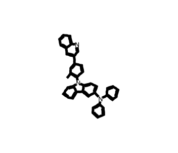 Cc1cc(-c2cnc3ccccc3c2)ccc1-n1c2ccccc2c2cc(N(c3ccccc3)c3ccccc3)ccc21